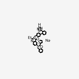 CCc1nc2ccc(N(Cc3ccccc3)C(=O)c3cccs3)cc2c(=O)n1Cc1ccc(-c2ccccc2-c2nn[nH]n2)cc1.[Na]